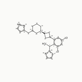 CC(c1c(Cl)cc(Cl)cc1N1CC([C@@H]2CCCN(Cc3cc[nH]n3)C2)C1)n1cccn1